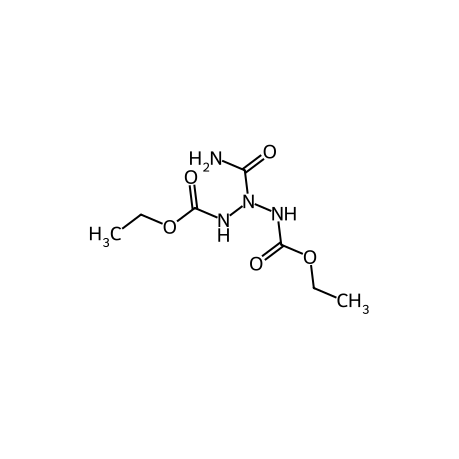 CCOC(=O)NN(NC(=O)OCC)C(N)=O